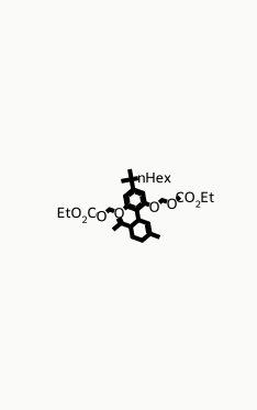 C=C(C)C1CCC(C)=CC1c1c(OCOC(=O)OCC)cc(C(C)(C)CCCCCC)cc1OCOC(=O)OCC